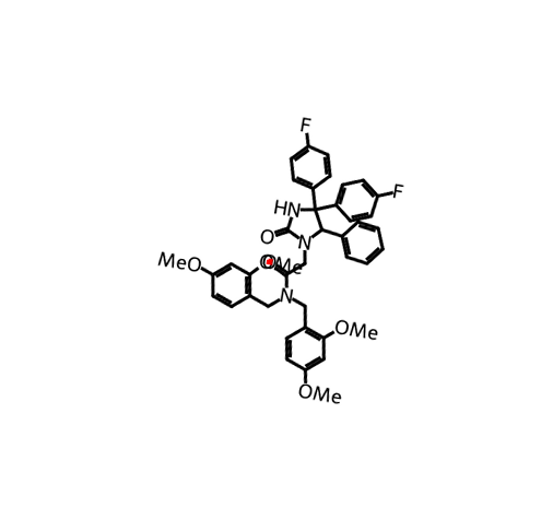 COc1ccc(CN(Cc2ccc(OC)cc2OC)C(=O)CN2C(=O)NC(c3ccc(F)cc3)(c3ccc(F)cc3)C2c2ccccc2)c(OC)c1